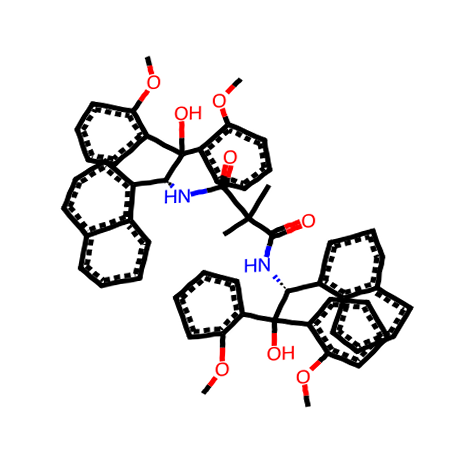 COc1ccccc1C(O)(c1ccccc1OC)[C@H](NC(=O)C(C)(C)C(=O)N[C@H](c1cccc2ccccc12)C(O)(c1ccccc1OC)c1ccccc1OC)c1cccc2ccccc12